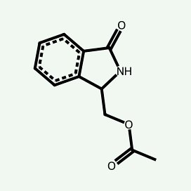 CC(=O)OCC1NC(=O)c2ccccc21